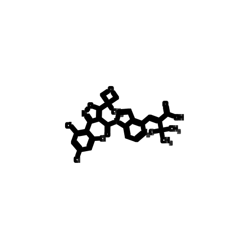 CC(C)(C)/C(=C\c1cccc2c1ccn2C(=O)c1c(-c2c(Cl)cc(Cl)cc2Cl)noc1C1(C)COC1)C(=O)O